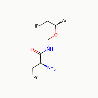 CC(=O)[C@H](CC(C)C)OCNC(=O)[C@@H](N)CC(C)C